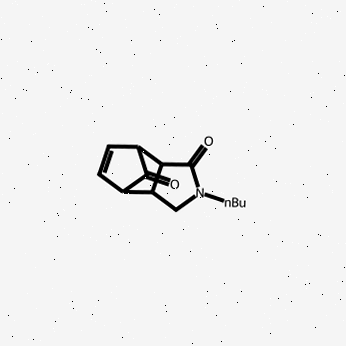 CCCCN1CC2C3C=CC(C3=O)C2C1=O